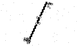 C=C(CCCCCCCCCOC(=O)/C=C/C(=O)OCCCCCCCCCCC[Si](OCC)(OCC)OCC)[SiH2]OCC